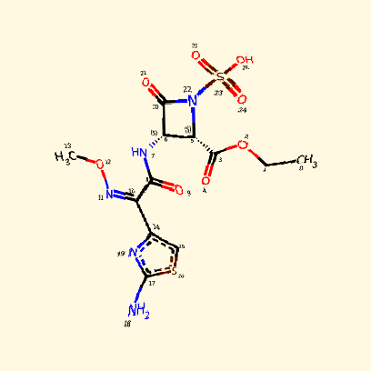 CCOC(=O)[C@@H]1[C@H](NC(=O)C(=NOC)c2csc(N)n2)C(=O)N1S(=O)(=O)O